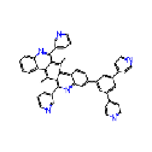 Cc1c2c(-c3cccnc3)nc3cc(-c4cc(-c5ccncc5)cc(-c5ccncc5)c4)ccc3c2c(C)c2c(-c3cccnc3)nc3ccccc3c12